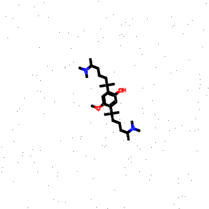 COc1cc(C(C)(C)CCCC(C)N(C)C)c(O)cc1C(C)(C)CCCC(C)N(C)C